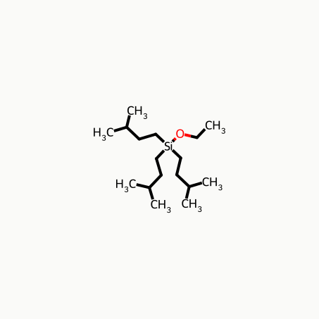 CCO[Si](CCC(C)C)(CCC(C)C)CCC(C)C